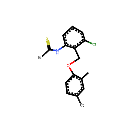 CCC(=S)Nc1cccc(Cl)c1COc1ccc(CC)cc1C